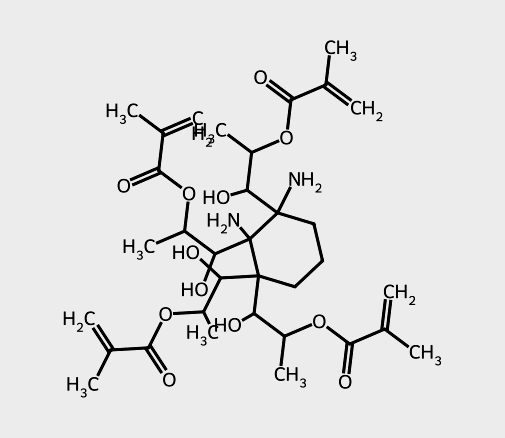 C=C(C)C(=O)OC(C)C(O)C1(N)CCCC(C(O)C(C)OC(=O)C(=C)C)(C(O)C(C)OC(=O)C(=C)C)C1(N)C(O)C(C)OC(=O)C(=C)C